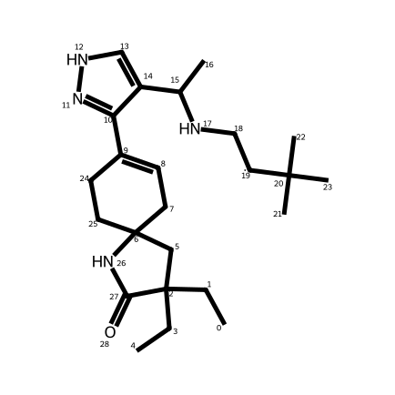 CCC1(CC)CC2(CC=C(c3n[nH]cc3C(C)NC[CH]C(C)(C)C)CC2)NC1=O